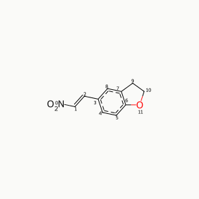 O=[N+]([O-])/C=C/c1ccc2c(c1)CCO2